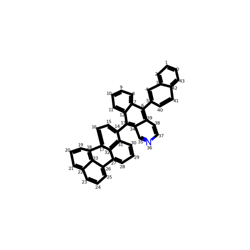 c1ccc2cc(-c3c4ccccc4c(-c4ccc5c6cccc7cccc(c8cccc4c85)c76)c4cnccc34)ccc2c1